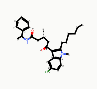 CCCCCCc1c(C(=O)C[C@@H](C)CC(=O)NC(C)c2ccccc2)c2cc(Cl)ccc2n1C